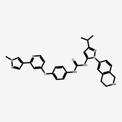 CC(C)c1cc(NC(=O)Nc2ccc(Oc3ccnc(-c4cnn(C)c4)c3)cc2)n(-c2ccc3c(c2)CCNC3)n1